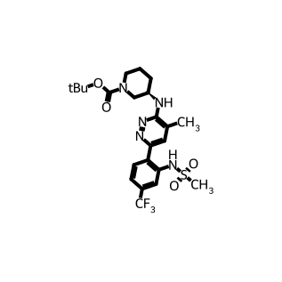 Cc1cc(-c2ccc(C(F)(F)F)cc2NS(C)(=O)=O)nnc1N[C@@H]1CCCN(C(=O)OC(C)(C)C)C1